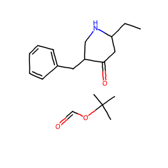 CC(C)(C)OC=O.CCC1CC(=O)C(Cc2ccccc2)CN1